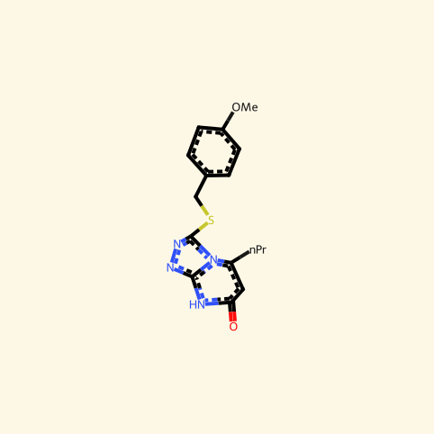 CCCc1cc(=O)[nH]c2nnc(SCc3ccc(OC)cc3)n12